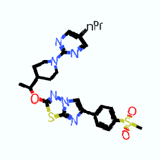 CCCc1cnc(N2CCC(C(C)Oc3nn4cc(-c5ccc(S(C)(=O)=O)cc5)nc4s3)CC2)nc1